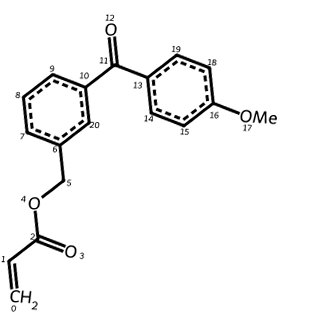 C=CC(=O)OCc1cccc(C(=O)c2ccc(OC)cc2)c1